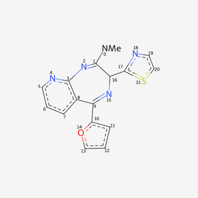 CNC1=Nc2ncccc2C(c2ccco2)=NC1c1nccs1